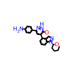 Nc1ccc(-c2cc(-c3cccc4c3cnn4C3CCCCO3)c(=O)[nH]n2)cc1